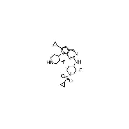 O=S(=O)(C1CC1)N1CC[C@@H](Nc2ncc3cc(C4CC4)n([C@@H]4CCNC[C@@H]4F)c3n2)[C@H](F)C1